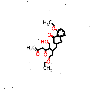 CCOCCC(CC1CC(=O)c2c(cccc2OCC)C1)C(CO)C(=O)CC(C)=O